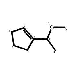 COC(C)C1=CCCC1